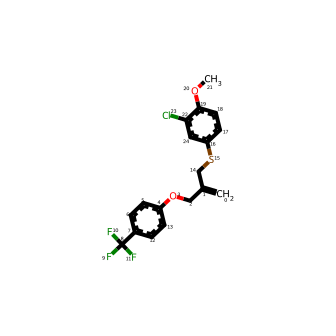 C=C(COc1ccc(C(F)(F)F)cc1)CSc1ccc(OC)c(Cl)c1